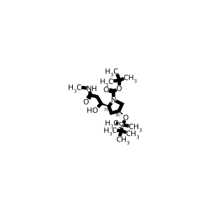 CNC(=O)CC(O)[C@@H]1C[C@@H](O[Si](C)(C)C(C)(C)C)CN1C(=O)OC(C)(C)C